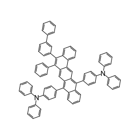 c1ccc(-c2cccc(-c3c(-c4ccccc4)c4cc5c(-c6ccc(N(c7ccccc7)c7ccccc7)cc6)c6ccccc6c(-c6ccc(N(c7ccccc7)c7ccccc7)cc6)c5cc4c4ccccc34)c2)cc1